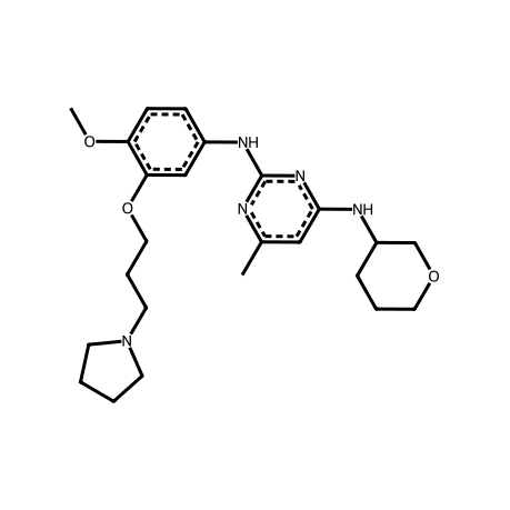 COc1ccc(Nc2nc(C)cc(NC3CCCOC3)n2)cc1OCCCN1CCCC1